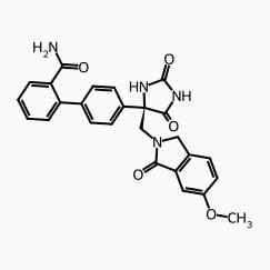 COc1ccc2c(c1)C(=O)N(C[C@@]1(c3ccc(-c4ccccc4C(N)=O)cc3)NC(=O)NC1=O)C2